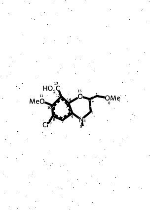 COCC1CN(C)c2cc(Cl)c(OC)c(C(=O)O)c2O1